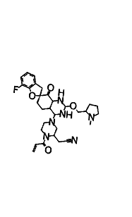 C=CC(=O)N1CCN(C2NC(OCC3CCCN3C)NC3C(=O)[C@@]4(CCC32)Cc2cccc(F)c2O4)CC1CC#N